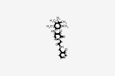 C[C@@H]1[C@@H](C)C(C)(C)[C@@H](C)C[C@H]1Nc1cnn(CC(=O)NCc2ccnnc2Cl)c(=O)c1Cl